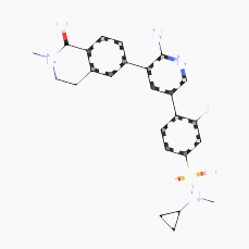 CN1CCc2cc(-c3cc(-c4ccc(S(=O)(=O)N(C)C5CC5)cc4F)cnc3N)ccc2C1=O